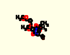 C=CCOC(=O)N1c2cc(OCc3cccc(CC(=O)OC)c3)c(OC)cc2C(=O)N2CC=C(c3ccsc3)C[C@H]2C1OC